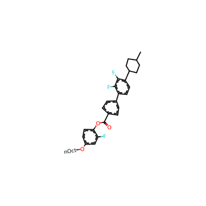 CCCCCCCCOc1ccc(OC(=O)c2ccc(-c3ccc(C4CCC(C)CC4)c(F)c3F)cc2)c(F)c1